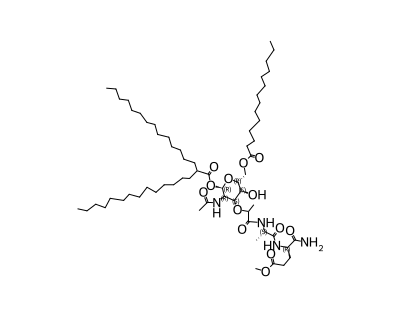 CCCCCCCCCCCCCCC(CCCCCCCCCCCCCC)C(=O)O[C@H]1O[C@H](COC(=O)CCCCCCCCCCCCC)[C@@H](O)[C@@H](OC(C)C(=O)N[C@@H](C)C(=O)N[C@H](CCC(=O)OC)C(N)=O)[C@H]1NC(C)=O